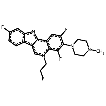 CN1CCN(c2c(F)cc3c4nc5cc(F)ccc5c-4cn(CCF)c3c2F)CC1